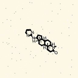 CN1C(=O)C=C[C@]2(C)[C@H]3CC[C@]4(C)[C@@H](Nc5ncccn5)CC[C@H]4[C@@H]3CC[C@@H]12